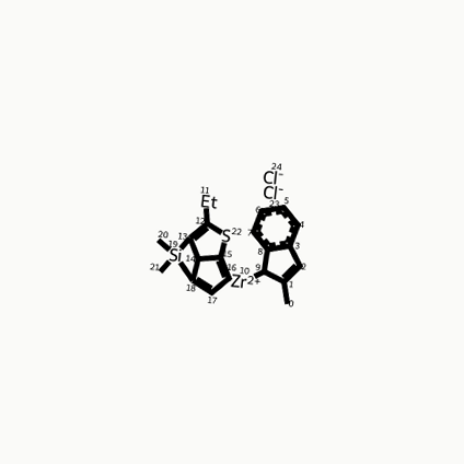 CC1=Cc2ccccc2[CH]1[Zr+2].CCC1=C2C3C(=CC=C3[Si]2(C)C)S1.[Cl-].[Cl-]